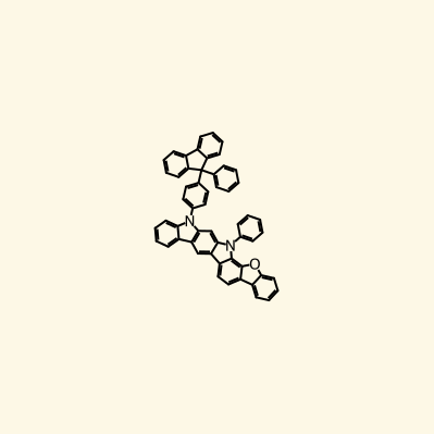 c1ccc(-n2c3cc4c(cc3c3ccc5c6ccccc6oc5c32)c2ccccc2n4-c2ccc(C3(c4ccccc4)c4ccccc4-c4ccccc43)cc2)cc1